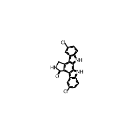 O=C1NCc2c1c1c3cc(Cl)ccc3[nH]c1c1[nH]c3ccc(Cl)cc3c21